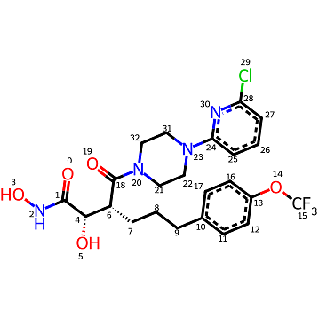 O=C(NO)[C@@H](O)[C@@H](CCCc1ccc(OC(F)(F)F)cc1)C(=O)N1CCN(c2cccc(Cl)n2)CC1